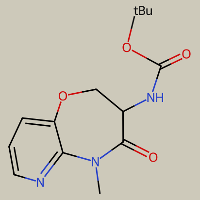 CN1C(=O)C(NC(=O)OC(C)(C)C)COc2cccnc21